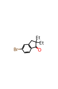 CCC1(CC)Cc2cc(Br)ccc2C1=O